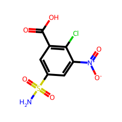 NS(=O)(=O)c1cc(C(=O)O)c(Cl)c([N+](=O)[O-])c1